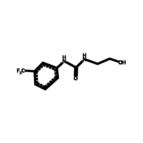 O=C(NCCO)Nc1cccc(C(F)(F)F)c1